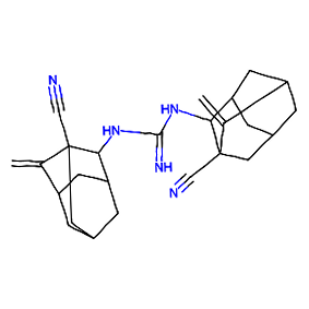 C=C1C2CC3CC(C2)C(NC(=N)NC2C4CC5CC(C4)C(=C)C2(C#N)C5)C1(C#N)C3